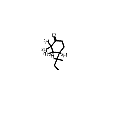 [2H]C1([2H])C(=O)CCC([2H])(C(C)(C)CC)C1([2H])[2H]